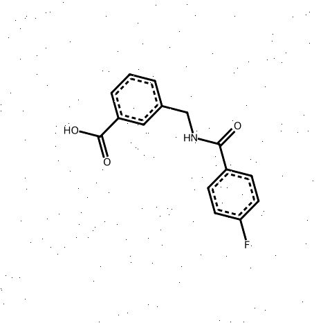 O=C(O)c1cccc(CNC(=O)c2ccc(F)cc2)c1